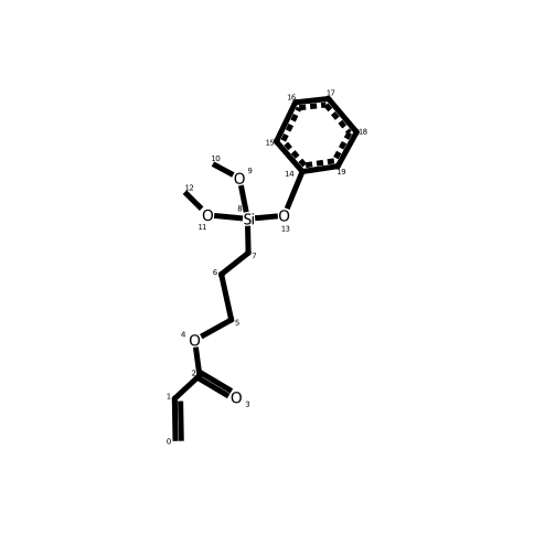 C=CC(=O)OCCC[Si](OC)(OC)Oc1ccccc1